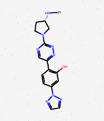 CC(C)N[C@H]1CCN(c2ncc(-c3ccc(-n4nccn4)cc3O)nn2)C1